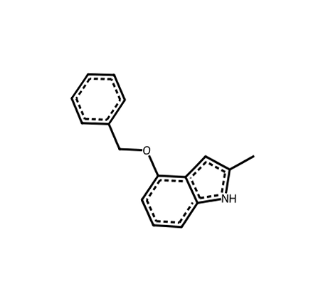 Cc1cc2c(OCc3ccccc3)cccc2[nH]1